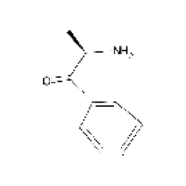 C[C@@H](N)C(=O)c1cc[c]cc1